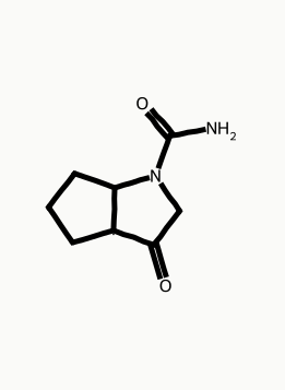 NC(=O)N1CC(=O)[C]2CCCC21